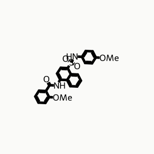 COc1ccc(NS(=O)(=O)c2ccc(NC(=O)c3ccccc3OC)c3ccccc23)cc1